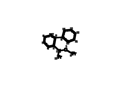 CC(C)ON(c1cccnc1-c1[c]cccc1)C(C)C